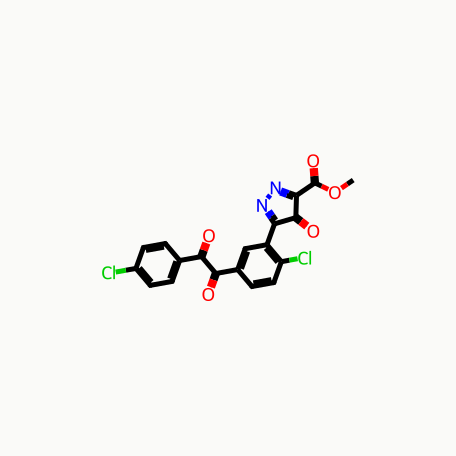 COC(=O)C1=NN=C(c2cc(C(=O)C(=O)c3ccc(Cl)cc3)ccc2Cl)C1=O